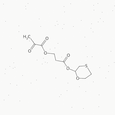 CC(=O)C(=O)OCCC(=O)OC1CSCCO1